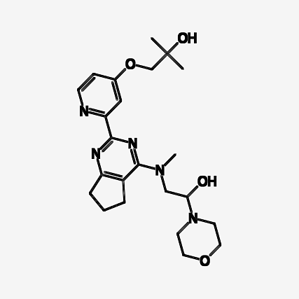 CN(CC(O)N1CCOCC1)c1nc(-c2cc(OCC(C)(C)O)ccn2)nc2c1CCC2